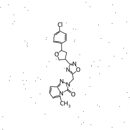 Cc1cccc2nn(Cc3nc(C4COC(c5ccc(Cl)cc5)C4)no3)c(=O)n12